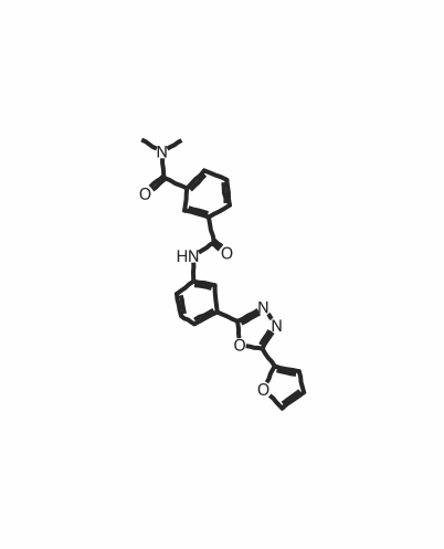 CN(C)C(=O)c1cccc(C(=O)Nc2cccc(-c3nnc(-c4ccco4)o3)c2)c1